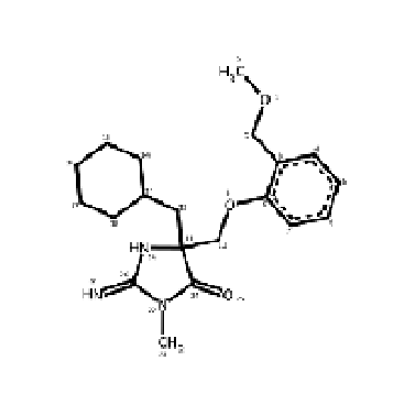 COCc1ccccc1OCC1(CC2CCCCC2)NC(=N)N(C)C1=O